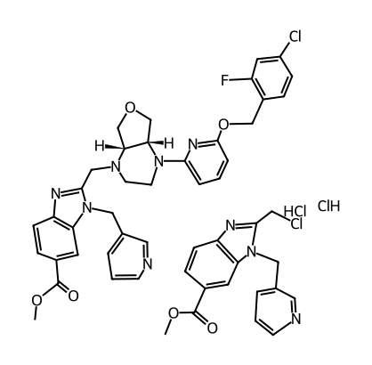 COC(=O)c1ccc2nc(CCl)n(Cc3cccnc3)c2c1.COC(=O)c1ccc2nc(CN3CCN(c4cccc(OCc5ccc(Cl)cc5F)n4)[C@H]4COC[C@H]43)n(Cc3cccnc3)c2c1.Cl.Cl